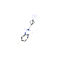 NC12CC(c3nc4cc(F)ccc4[nH]3)(C1)C2